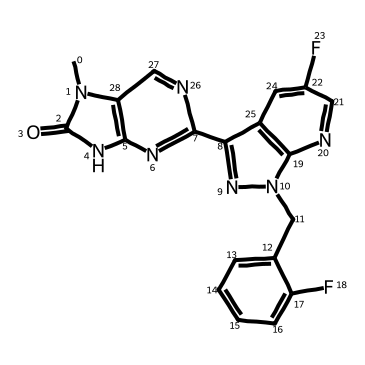 Cn1c(=O)[nH]c2nc(-c3nn(Cc4ccccc4F)c4ncc(F)cc34)ncc21